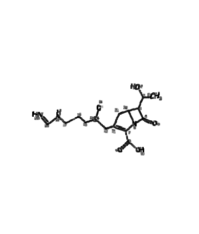 CC(O)C1C(=O)N2C(C(=O)O)=C(C[S+]([O-])CCCNC=N)CC12